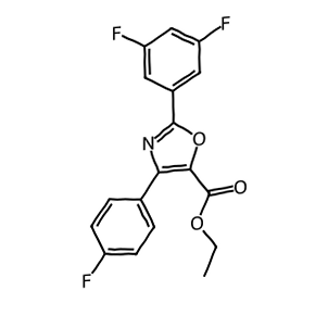 CCOC(=O)c1oc(-c2cc(F)cc(F)c2)nc1-c1ccc(F)cc1